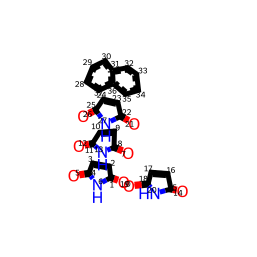 O=C1C=CC(=O)N1.O=C1C=CC(=O)N1.O=C1C=CC(=O)N1.O=C1C=CC(=O)N1.c1ccc2ccccc2c1